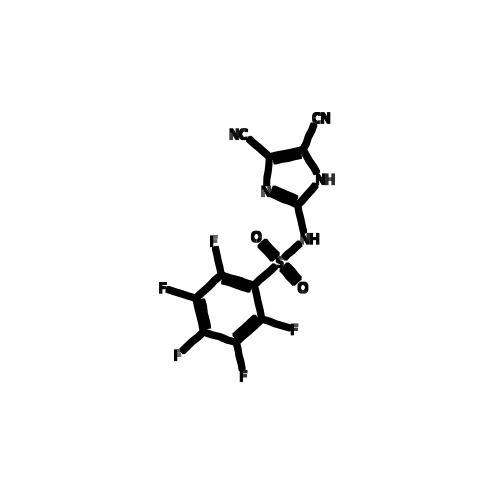 N#Cc1nc(NS(=O)(=O)c2c(F)c(F)c(F)c(F)c2F)[nH]c1C#N